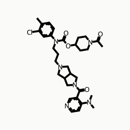 CC(=O)N1CCC(OC(=O)N(CCCN2CC3CN(C(=O)c4cnccc4N(C)C)CC3C2)c2ccc(C)c(Cl)c2)CC1